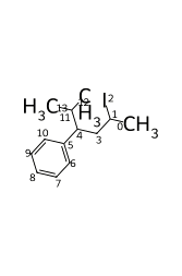 CC(I)CC(c1ccccc1)C(C)C